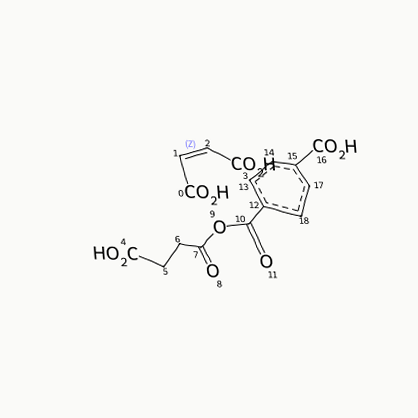 O=C(O)/C=C\C(=O)O.O=C(O)CCC(=O)OC(=O)c1ccc(C(=O)O)cc1